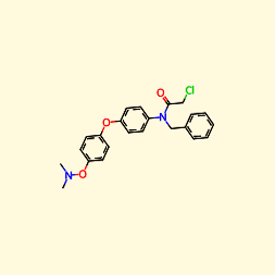 CN(C)Oc1ccc(Oc2ccc(N(Cc3ccccc3)C(=O)CCl)cc2)cc1